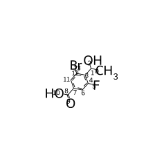 CC(O)c1c(F)cc(C(=O)O)cc1Br